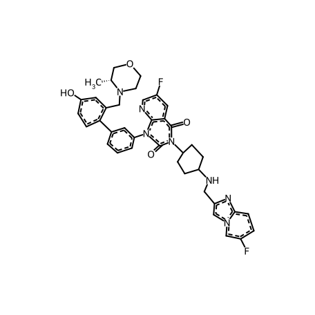 C[C@@H]1COCCN1Cc1cc(O)ccc1-c1cccc(-n2c(=O)n(C3CCC(NCc4cn5cc(F)ccc5n4)CC3)c(=O)c3cc(F)cnc32)c1